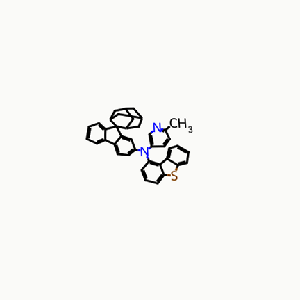 Cc1ccc(N(c2ccc3c(c2)C2(c4ccccc4-3)C3CC4CC(C3)CC2C4)c2cccc3sc4ccccc4c23)cn1